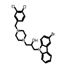 OC(CN1CCN(Cc2ccc(Cl)c(Cl)c2)CC1)Cn1c2ccccc2c2cc(Br)ccc21